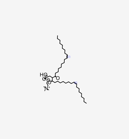 CCCCCCCC/C=C\CCCCCCCC(=O)C(CP(=O)(O)OCC[N+](C)(C)C)C(=O)CCCCCCC/C=C\CCCCCCCC